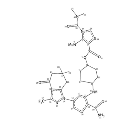 CNc1c(C(=O)OC2CCC(Nc3cc(-n4nc(C(F)(F)F)c5c4CC(C)(C)CC5=O)ccc3C(N)=O)CC2)ncn1C(=O)N(C)C